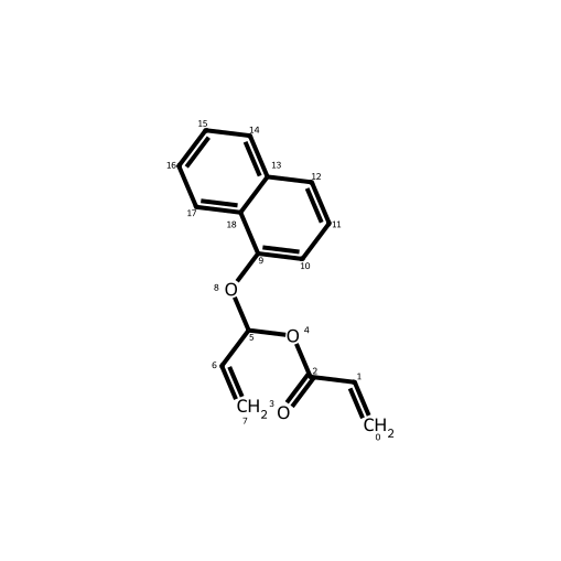 C=CC(=O)OC(C=C)Oc1cccc2ccccc12